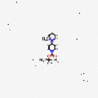 CC(C)(C)OC(=O)N1CCC(N2CCCC[SiH2]2)CC1